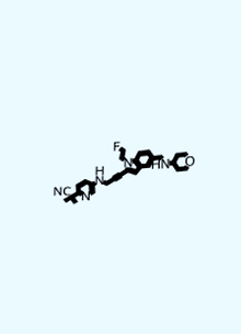 CC(C)(C#N)c1ccc(NCC#Cc2cc3cc(CNC4CCOCC4)ccc3n2CCF)cn1